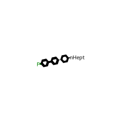 CCCCCCC[C@H]1CC[C@H](c2ccc(-c3ccc(F)cc3)cc2)CC1